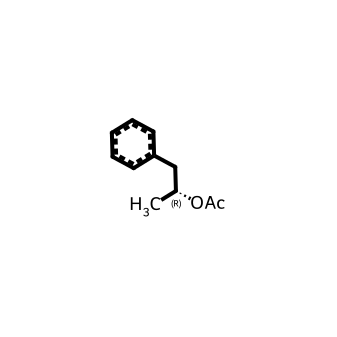 CC(=O)O[C@H](C)Cc1ccccc1